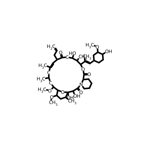 C=CCC1/C=C(/C)CC(C)CC(OC)C2OC(O)(C(C)CC2OC)C(O)C(=O)N2CCCCC2C(=O)OC(/C(C)=C/C2CCC(O)C(OC)C2)C(C)C(O)CC1=O